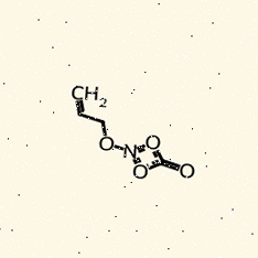 C=CCOn1oc(=O)o1